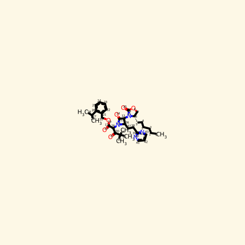 CCCCCC[C@H]1COC(=O)N1C1C(=O)N(C(C(=O)OCc2ccccc2C(C)C)C(=O)C(C)(C)C)C1CCc1ncccn1